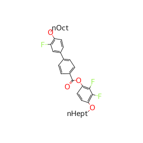 CCCCCCCCOc1ccc(-c2ccc(C(=O)Oc3ccc(OCCCCCCC)c(F)c3F)cc2)cc1F